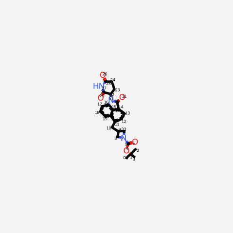 CC(C)(C)OC(=O)N1CC(Cc2ccc3c4c(cccc24)N(C2CCC(=O)NC2=O)C3=O)C1